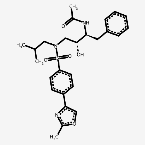 CC(=O)N[C@@H](Cc1ccccc1)[C@H](O)CN(CC(C)C)S(=O)(=O)c1ccc(-c2coc(C)n2)cc1